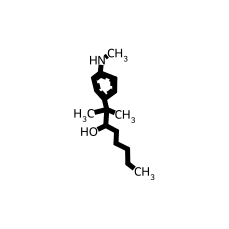 CCCCCC(O)C(C)(C)c1ccc(NC)cc1